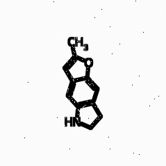 Cc1cc2cc3c(cc2o1)CCN3